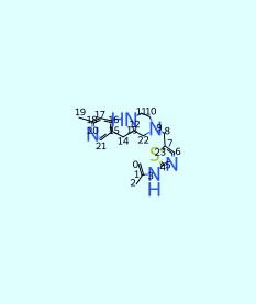 C=C(C)Nc1ncc(CN2CCNC(Cc3ccc(C)nc3)C2)s1